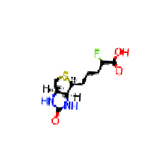 O=C1N[C@H]2[C@H](CS[C@H]2CCCC(F)C(=O)O)N1